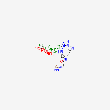 O=C(CC1CCN(c2nncs2)C1)Nc1ccc2cc1CCc1cncc(c1)Nc1ncc(Cl)c(n1)N2.O=C(O)C(F)(F)F.O=C(O)C(F)(F)F.O=C(O)C(F)(F)F